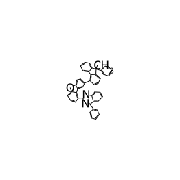 CC1(c2ccccc2)c2ccccc2-c2c(-c3ccc4oc5cccc(-c6nc(-c7ccccc7)c7ccccc7n6)c5c4c3)cccc21